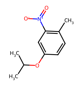 Cc1ccc(OC(C)C)cc1[N+](=O)[O-]